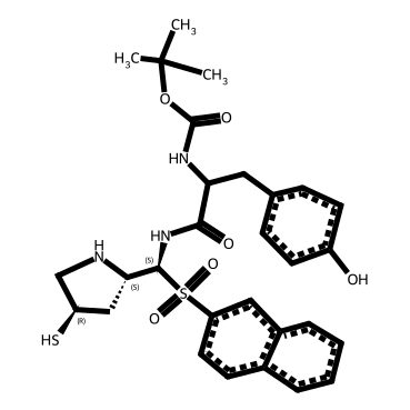 CC(C)(C)OC(=O)NC(Cc1ccc(O)cc1)C(=O)N[C@H]([C@@H]1C[C@@H](S)CN1)S(=O)(=O)c1ccc2ccccc2c1